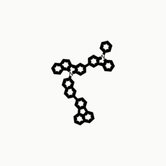 c1ccc(-n2c3ccccc3c3cc(-c4ccc5c(c4)c4ccc6ccccc6c4n5-c4ccc5ccc(-c6ccc7c(c6)-c6cccc8cccc-7c68)cc5c4)ccc32)cc1